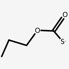 CCCOC(=O)[S]